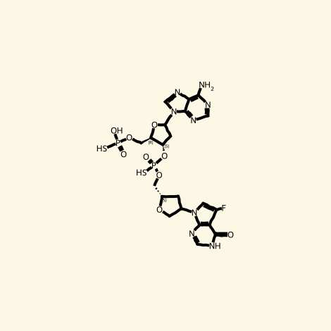 Nc1ncnc2c1ncn2C1C[C@H](OP(=O)(S)OC[C@@H]2CC(n3cc(F)c4c(=O)[nH]cnc43)CO2)[C@@H](COP(=O)(O)S)O1